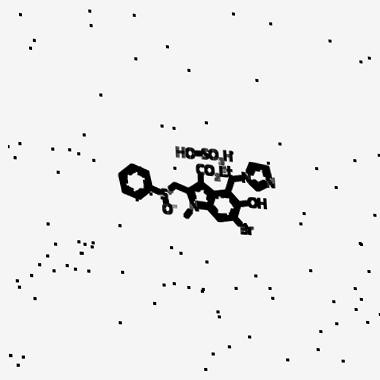 CCOC(=O)c1c(C[S+]([O-])c2ccccc2)n(C)c2cc(Br)c(O)c(Cn3ccnc3)c12.O=S(=O)(O)O